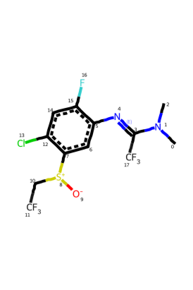 CN(C)/C(=N/c1cc([S+]([O-])CC(F)(F)F)c(Cl)cc1F)C(F)(F)F